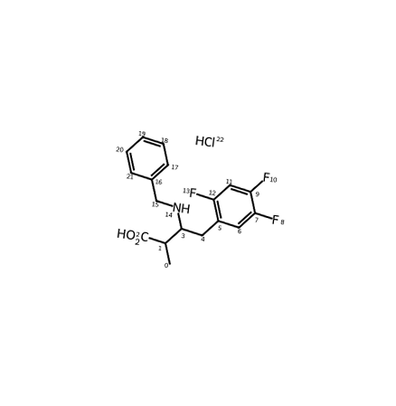 CC(C(=O)O)C(Cc1cc(F)c(F)cc1F)NCc1ccccc1.Cl